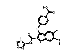 COc1cc2sc(C(=O)Nc3nnn[nH]3)c(Sc3ccc(C(=O)O)cc3)c2cc1C